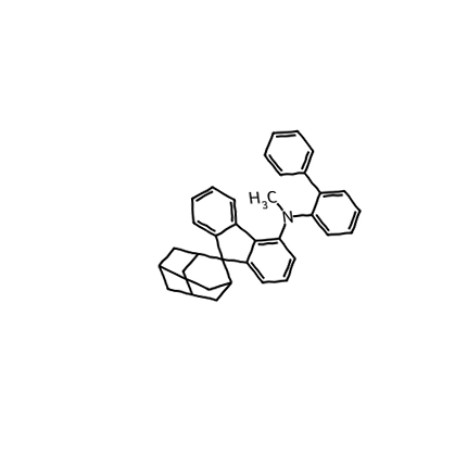 CN(c1ccccc1-c1ccccc1)c1cccc2c1-c1ccccc1C21C2CC3CC(C2)CC1C3